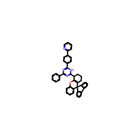 c1ccc(C2=NC(C3CCCC4=C3Oc3ccccc3C43c4ccccc4-c4ccccc43)NC(c3ccc(-c4ccccn4)cc3)=N2)cc1